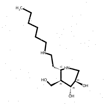 CCCCCCNCC[C@@H]1NC[C@@H](O)[C@H](O)[C@H]1CO